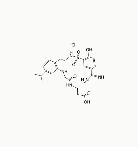 CC(C)c1ccc(CCNS(=O)(=O)c2cc(C(=N)N)ccc2O)c(NCC(=O)NCCC(=O)O)c1.Cl